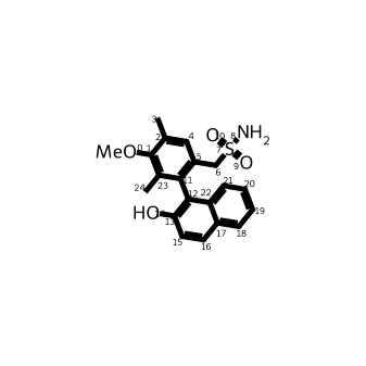 COc1c(C)cc(CS(N)(=O)=O)c(-c2c(O)ccc3ccccc23)c1C